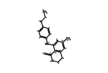 CCOc1ccc(Nc2nc(C)cc3c2C(=O)OCC3)cc1